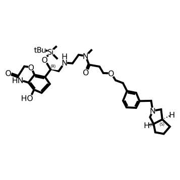 CN(CCNC[C@H](O[Si](C)(C)C(C)(C)C)c1ccc(O)c2c1OCC(=O)N2)C(=O)CCOCCc1cccc(CN2C[C@H]3CCC[C@H]3C2)c1